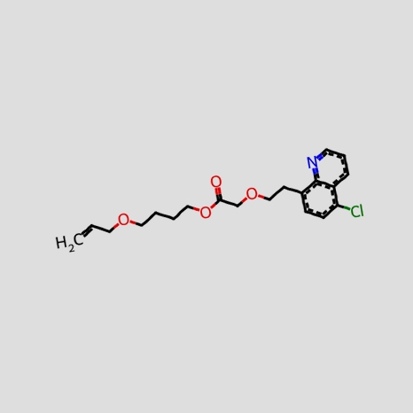 C=CCOCCCCOC(=O)COCCc1ccc(Cl)c2cccnc12